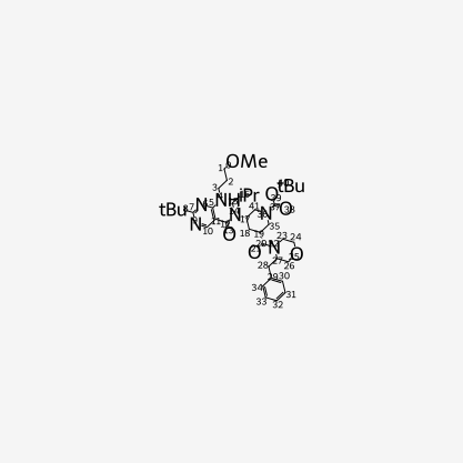 COCCCNc1nc(C(C)(C)C)ncc1C(=O)N(CC(C)C)[C@H]1C[C@@H](C(=O)N2CCOCC2Cc2ccccc2)CN(C(=O)OC(C)(C)C)C1